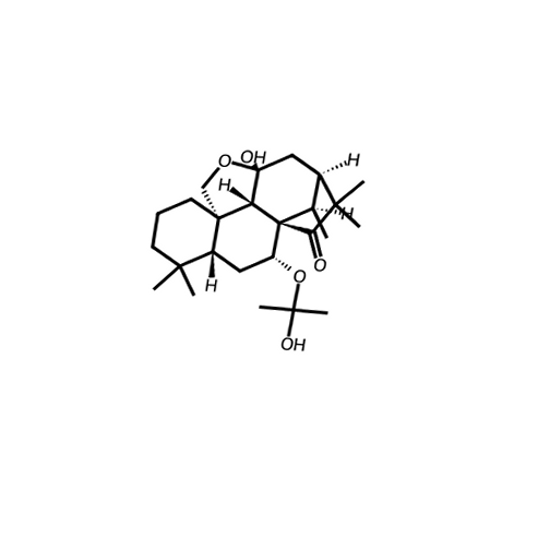 C[C@@H]1[C@H]2C[C@@]3(O)OC[C@@]45CCCC(C)(C)[C@H]4C[C@@H](OC(C)(C)O)[C@]1(C(=O)C2(C)C)[C@H]53